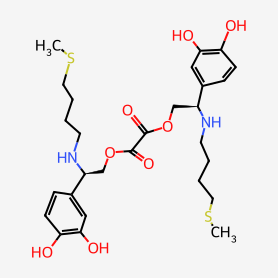 CSCCCCN[C@@H](COC(=O)C(=O)OC[C@H](NCCCCSC)c1ccc(O)c(O)c1)c1ccc(O)c(O)c1